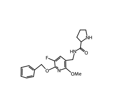 COc1nc(OCc2ccccc2)c(F)cc1CNC(=O)C1CCCN1